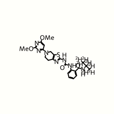 [2H]C([2H])([2H])C([2H])(NC(=O)c1ccccc1NC(=O)Nc1nc2c(s1)CN(c1cc(OC)nc(OC)n1)CC2)C([2H])([2H])[2H]